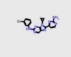 CCc1cccc(Nc2ncc3nc(-c4ccnc(N)n4)n(C4CC4)c3n2)c1